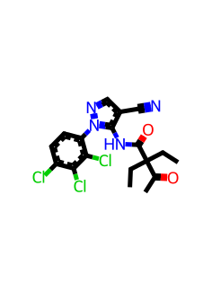 CCC(CC)(C(C)=O)C(=O)Nc1c(C#N)cnn1-c1ccc(Cl)c(Cl)c1Cl